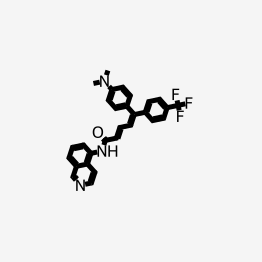 CN(C)c1ccc(C(=CC=CC(=O)Nc2cccc3cnccc23)c2ccc(C(F)(F)F)cc2)cc1